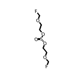 O=S(OCCOCF)OCCOCF